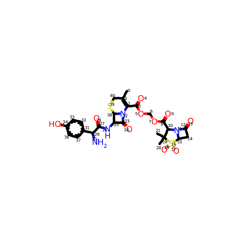 CC1=C(C(=O)OCOC(=O)C2N3C(=O)CC3S(=O)(=O)C2(C)C)N2C(=O)C(NC(=O)C(N)c3ccc(O)cc3)C2SC1